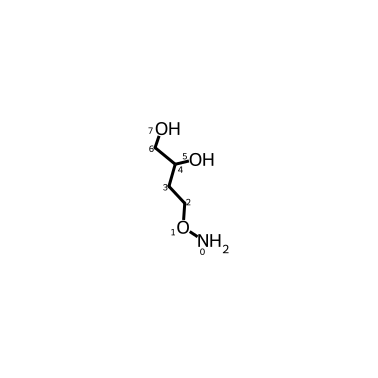 NOCCC(O)CO